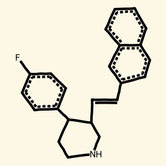 Fc1ccc(C2CCNCC2C=Cc2ccc3ccccc3c2)cc1